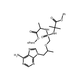 CCCCCOC(=O)C(C)NP(=O)(COC(C)Cn1cnc2c(N)ncnc21)NC(C)(C)C(=O)OC(C)C